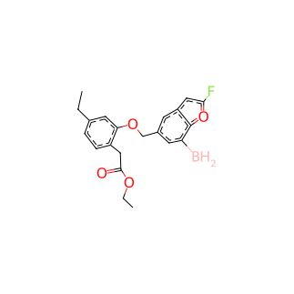 Bc1cc(COc2cc(CC)ccc2CC(=O)OCC)cc2cc(F)oc12